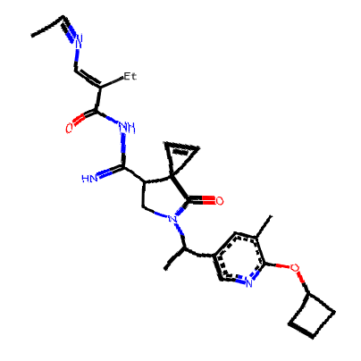 C/C=N\C=C(/CC)C(=O)NC(=N)C1CN(C(C)c2cnc(OC3CCC3)c(C)c2)C(=O)C12C=C2